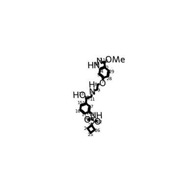 COc1n[nH]c2cc(OCCNC[C@H](O)c3cccc(NS(=O)(=O)C4CCC4)c3)ccc12